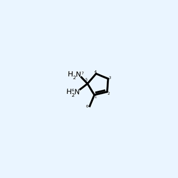 CC1=CCCC1(N)N